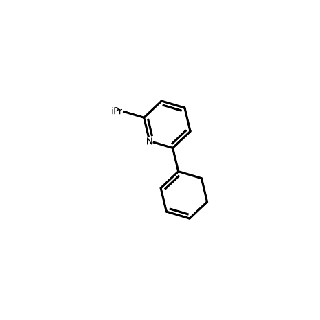 CC(C)c1cccc(C2=CC=CCC2)n1